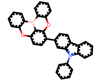 c1ccc(-n2c3ccccc3c3ccc(-c4ccc5c6c4Oc4ccccc4B6c4ccccc4O5)cc32)cc1